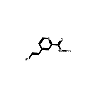 CCCNC(=O)c1cc(/C=C/C(C)C)ccn1